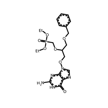 CCOP(=O)(COC(COCc1ccccc1)COn1cnc2c(=O)[nH]c(N)nc21)OCC